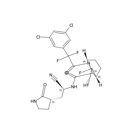 N#C[C@H](C[C@@H]1CCNC1=O)NC(=O)[C@@H]1[C@H]2CC[C@H](CC2(F)F)N1C(=O)C(F)(F)c1cc(Cl)cc(Cl)c1